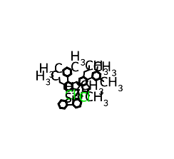 CCCc1ccc2c(c1-c1cc(C)cc(C)c1)C=C(C)[CH]2[Zr]([Cl])([Cl])([c]1cccc2c1[SiH2]c1ccccc1-2)[CH]1C(C)=Cc2c1ccc(CCC)c2-c1cc(C)cc(C)c1